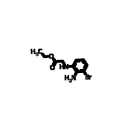 CCOC(=O)CNc1cccc(Br)c1N